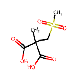 CC(CS(C)(=O)=O)(C(=O)O)C(=O)O